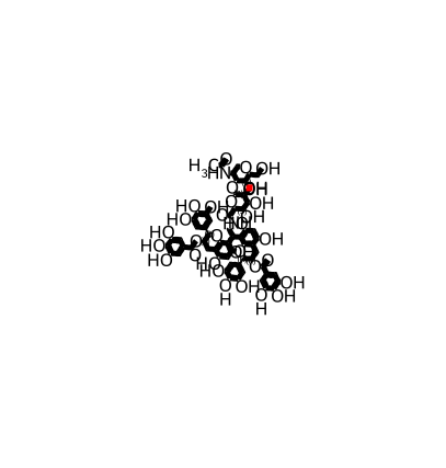 CC(=O)NC1COC(CO)[C@@H](O)C1O[C@@H]1OC(C(=O)NCC(c2c(O)cc(O)c3c2O[C@H](c2cc(O)c(O)c(O)c2)[C@H](OC(=O)c2cc(O)c(O)c(O)c2)C3)c2c(O)cc(O)c3c2O[C@H](c2cc(O)c(O)c(O)c2)[C@H](OC(=O)c2cc(O)c(O)c(O)c2)C3)[C@@H](O)C(O)C1O